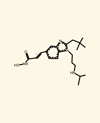 CC(C)NCCCn1c(CC(C)(C)C)nc2cc(/C=C/C(=O)NO)ccc21